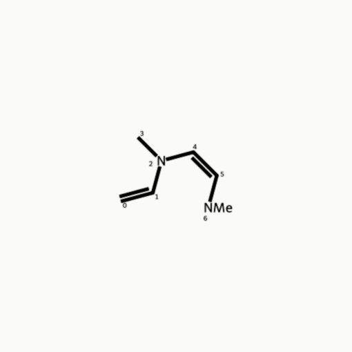 C=CN(C)/C=C\NC